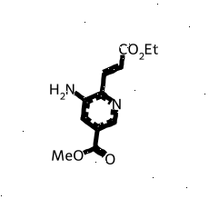 CCOC(=O)C=Cc1ncc(C(=O)OC)cc1N